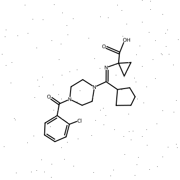 O=C(c1ccccc1Cl)N1CCN(/C(=N/C2(C(=O)O)CC2)C2CCCC2)CC1